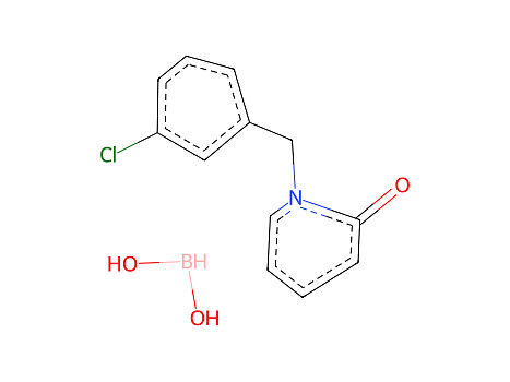 O=c1ccccn1Cc1cccc(Cl)c1.OBO